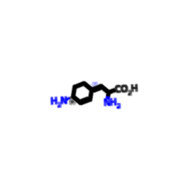 NC(/C=C1\C=C[C@H](N)CC1)C(=O)O